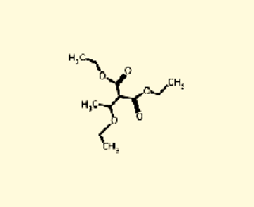 CCOC(=O)C(C(=O)OCC)C(C)OCC